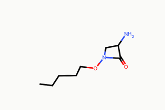 CCCCCON1CC(N)C1=O